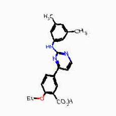 CCOc1ccc(-c2ccnc(Nc3cc(C)cc(C)c3)n2)cc1C(=O)O